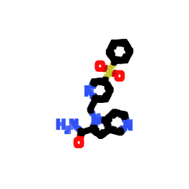 NC(=O)c1cc2cnccc2n1Cc1ccc(S(=O)(=O)c2ccccc2)cn1